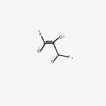 FC(Cl)=C(Cl)C(F)Cl